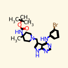 CC1(NC(=O)OC(C)(C)C)CCN(Cc2c[nH]c3ncnc(Nc4cccc(Br)c4)c23)CC1